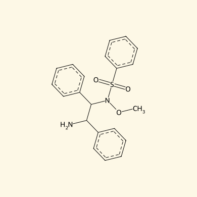 CON(C(c1ccccc1)C(N)c1ccccc1)S(=O)(=O)c1ccccc1